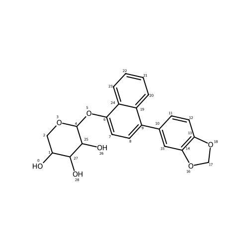 OC1COC(Oc2ccc(-c3ccc4c(c3)OCO4)c3ccccc23)C(O)C1O